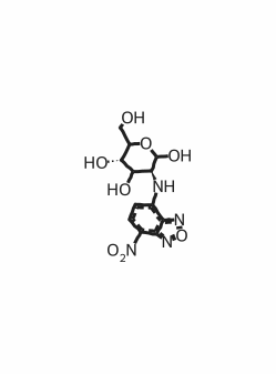 O=[N+]([O-])c1ccc(N[C@@H]2C(O)OC(CO)[C@@H](O)C2O)c2nonc12